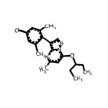 CCC(CC)Oc1cc(C)nc2c(-c3c(C)cc(Cl)cc3C)cnn12